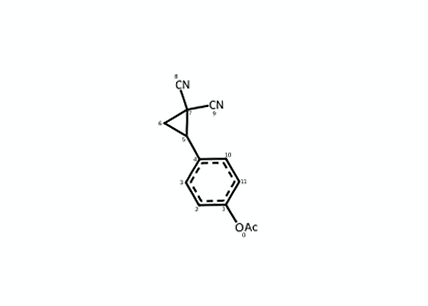 CC(=O)Oc1ccc(C2CC2(C#N)C#N)cc1